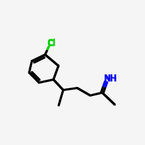 CC(=N)CCC(C)C1C=CC=C(Cl)C1